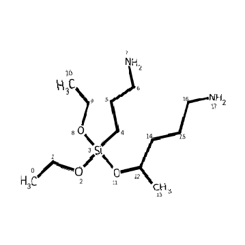 CCO[Si](CCCN)(OCC)OC(C)CCCN